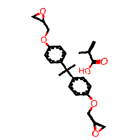 C=C(C)C(=O)O.CC(C)(c1ccc(OCC2CO2)cc1)c1ccc(OCC2CO2)cc1